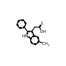 Cc1ccc2[nH]c(-c3ccccc3)c(CC(O)=S)c2c1